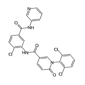 O=C(Nc1cccnc1)c1ccc(Cl)c(NC(=O)c2ccc(=O)n(-c3c(Cl)cccc3Cl)c2)c1